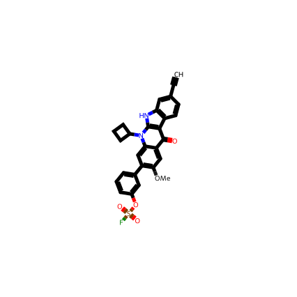 C#Cc1ccc2c(c1)[nH]c1c2c(=O)c2cc(OC)c(-c3cccc(OS(=O)(=O)F)c3)cc2n1C1CCC1